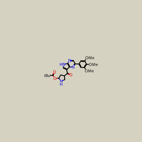 COc1cc(-c2cnc3[nH]cc(C(=O)C4CNC(OC(=O)C(C)(C)C)C4)c3n2)cc(OC)c1OC